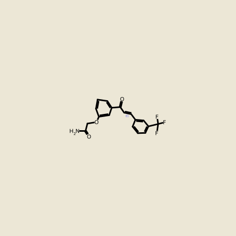 NC(=O)COc1cccc(C(=O)/C=C/c2cccc(C(F)(F)F)c2)c1